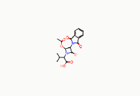 CC(=O)OC1C(N2C(=O)c3ccccc3C2=O)C(=O)N1C(C(=O)O)C(C)C